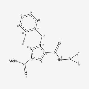 CNC(=O)c1cc(C(=O)NC2CC2)n(Cc2ccccc2F)n1